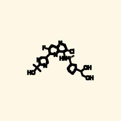 C[C@@H](Nc1c(Cl)cnc2cc(F)c(-c3cnc(C(C)(C)O)nc3)nc12)c1cccc(C(O)CO)c1